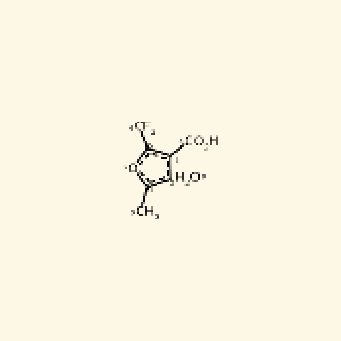 Cc1cc(C(=O)O)c(C(F)(F)F)o1.O